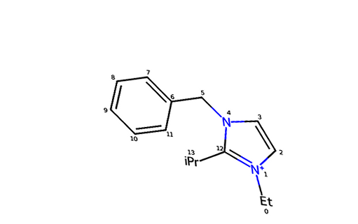 CC[n+]1ccn(Cc2ccccc2)c1C(C)C